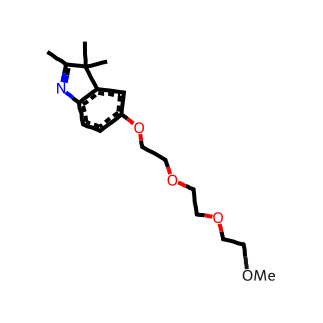 COCCOCCOCCOc1ccc2c(c1)C(C)(C)C(C)=N2